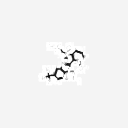 CCS(=O)(=O)c1ccc[n+]([O-])c1-c1nc2cc(C(F)(F)F)cnc2n1C